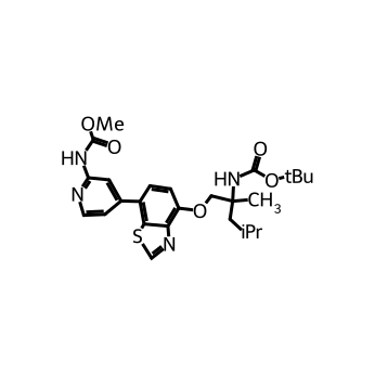 COC(=O)Nc1cc(-c2ccc(OCC(C)(CC(C)C)NC(=O)OC(C)(C)C)c3ncsc23)ccn1